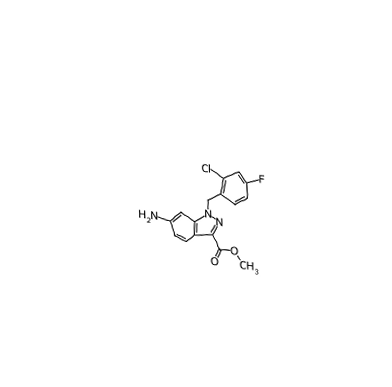 COC(=O)c1nn(Cc2ccc(F)cc2Cl)c2cc(N)ccc12